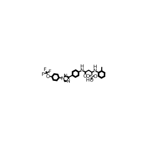 Cc1ccccc1NC(CC(=O)Nc1ccc(-c2ncn(-c3ccc(OC(F)(F)F)cc3)n2)cc1)S(=O)(=O)O